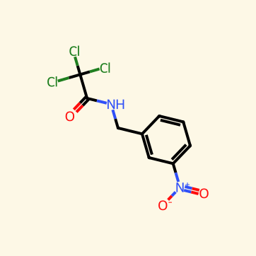 O=C(NCc1cccc([N+](=O)[O-])c1)C(Cl)(Cl)Cl